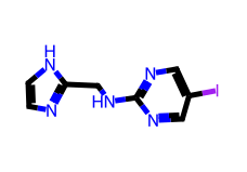 Ic1cnc(NCc2ncc[nH]2)nc1